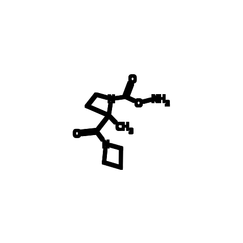 CC1(C(=O)N2CCC2)CCN1C(=O)ON